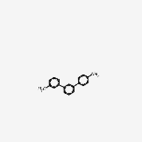 Cc1cccc(-c2cccc(-c3ccc(N)cc3)c2)c1